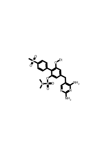 CCOc1cc(Cc2cnc(N)nc2N)cc(OS(=O)(=O)N(C)C)c1-c1ccc(S(C)(=O)=O)cc1